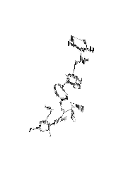 CCc1cc(F)cc(C)c1NC(Cc1ccc(-c2cc(CNc3ncc[nH]3)no2)cc1)C(=O)O